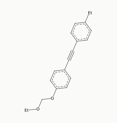 CCOCOc1ccc(C#Cc2ccc(CC)cc2)cc1